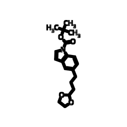 CC(C)(C)OC(=O)n1ccc2cc(CCCC3OCCO3)ccc21